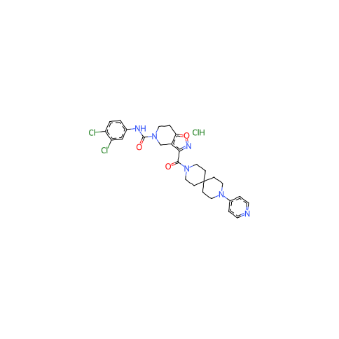 Cl.O=C(Nc1ccc(Cl)c(Cl)c1)N1CCc2onc(C(=O)N3CCC4(CC3)CCN(c3ccncc3)CC4)c2C1